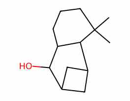 CC1(C)CCCC2C(O)C3CC(C3)C21